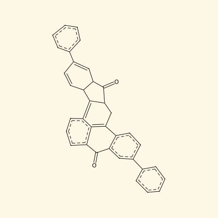 O=C1c2cc(-c3ccccc3)ccc2C2=c3c1cccc3=C1C(C2)C(=O)C2C=C(c3ccccc3)C=CC12